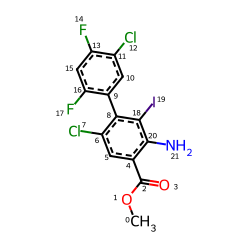 COC(=O)c1cc(Cl)c(-c2cc(Cl)c(F)cc2F)c(I)c1N